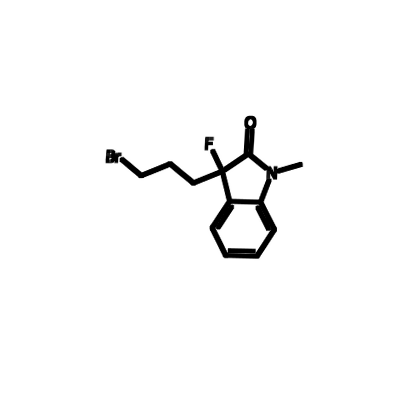 CN1C(=O)C(F)(CCCBr)c2ccccc21